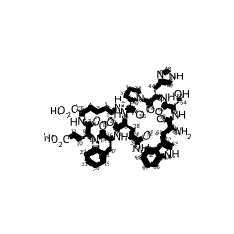 NCCCC[C@H](NC(=O)[C@H](CCC(=O)O)NC(=O)[C@H](Cc1ccccc1)NC(=O)[C@H](CCC(N)=O)NC(=O)[C@@H]1CCCN1C(=O)[C@H](Cc1c[nH]cn1)NC(=O)[C@H](CO)NC(=O)[C@@H](N)Cc1c[nH]c2ccccc12)C(=O)O